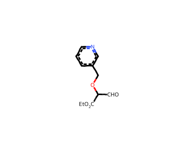 CCOC(=O)C(C=O)OCc1cccnc1